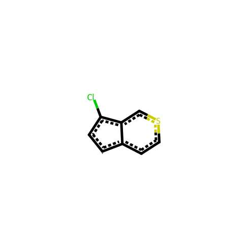 Clc1c[c]c2ccscc1-2